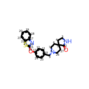 O=C1NCCC12CCN(Cc1ccc(Oc3nc4ccccc4s3)cc1)CC2